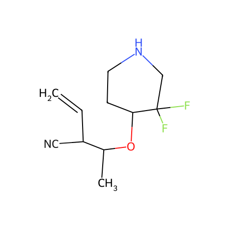 C=CC(C#N)C(C)OC1CCNCC1(F)F